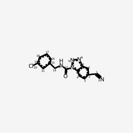 N#Cc1ccc2c(c1)nnn2C(=O)NCc1cccc(Cl)c1